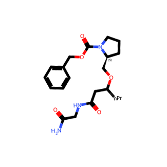 CCCC(CC(=O)NCC(N)=O)OC[C@@H]1CCCN1C(=O)OCc1ccccc1